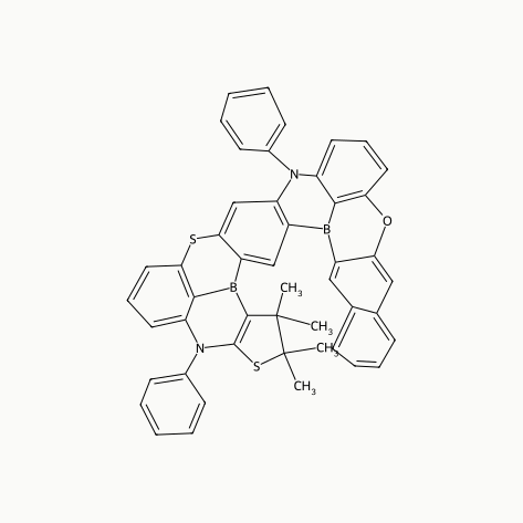 CC1(C)SC2=C(B3c4cc5c(cc4Sc4cccc(c43)N2c2ccccc2)N(c2ccccc2)c2cccc3c2B5c2cc4ccccc4cc2O3)C1(C)C